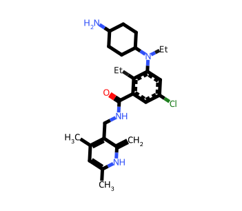 C=C1NC(C)=CC(C)=C1CNC(=O)c1cc(Cl)cc(N(CC)C2CCC(N)CC2)c1CC